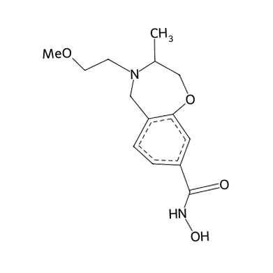 COCCN1Cc2ccc(C(=O)NO)cc2OCC1C